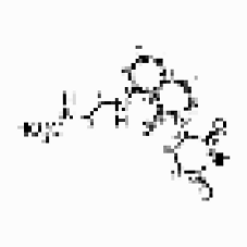 O=C(O)NCCNc1cccc2cnn(C3CCC(=O)NC3=O)c(=O)c12